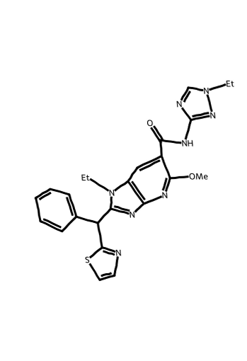 CCn1cnc(NC(=O)c2cc3c(nc2OC)nc(C(c2ccccc2)c2nccs2)n3CC)n1